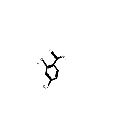 NC(=O)c1ccc([N+](=O)[O-])cc1Cl.[Fe]